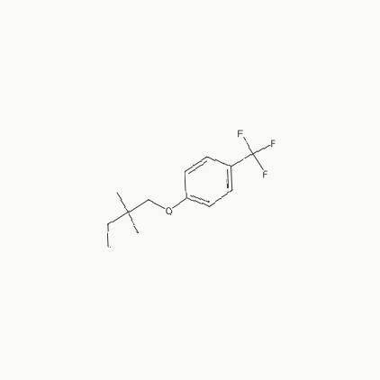 [CH2]CC(C)(C)COc1ccc(C(F)(F)F)cc1